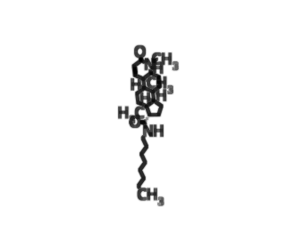 CCCCCCCCNC(=O)[C@H]1CC[C@H]2[C@@H]3CC[C@H]4N(C)C(=O)C=C[C@]4(C)[C@H]3CC[C@]12C